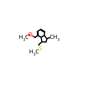 COCC1=CC=CC2C(C)CC(CSC)C12